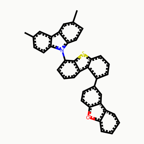 Cc1ccc2c(c1)c1cc(C)ccc1n2-c1cccc2c1sc1cccc(-c3ccc4oc5ccccc5c4c3)c12